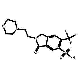 NS(=O)(=O)c1cc2c(cc1C(F)(F)F)CN(CCN1CCOCC1)C2=O